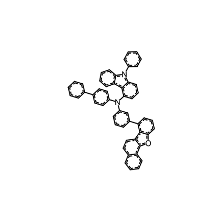 c1ccc(-c2ccc(N(c3cccc(-c4cccc5oc6c7ccccc7ccc6c45)c3)c3cccc4c3c3ccccc3n4-c3ccccc3)cc2)cc1